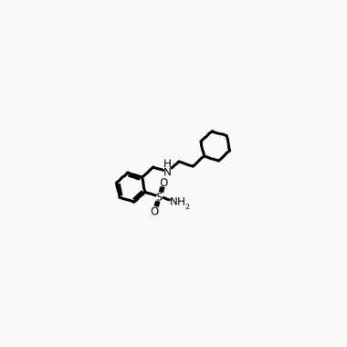 NS(=O)(=O)c1ccccc1CNCCC1CCCCC1